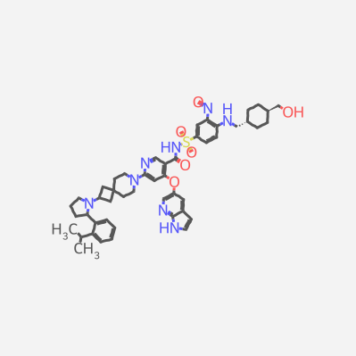 CC(C)c1ccccc1C1CCCN1C1CC2(CCN(c3cc(Oc4cnc5[nH]ccc5c4)c(C(=O)NS(=O)(=O)c4ccc(NC[C@H]5CC[C@H](CO)CC5)c(N=O)c4)cn3)CC2)C1